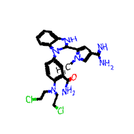 Cn1cc(C(=N)N)cc1C1Nc2ccccc2N1c1ccc(N(CCCl)CCCl)c(C(N)=O)c1